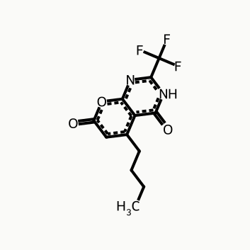 CCCCc1cc(=O)oc2nc(C(F)(F)F)[nH]c(=O)c12